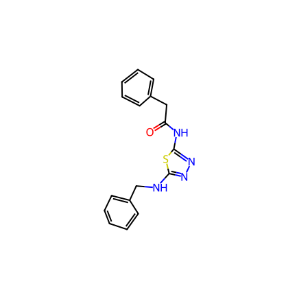 O=C(Cc1ccccc1)Nc1nnc(NCc2ccccc2)s1